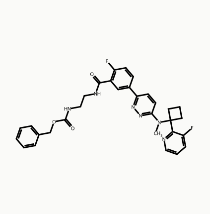 CN(c1ccc(-c2ccc(F)c(C(=O)NCCNC(=O)OCc3ccccc3)c2)nn1)C1(c2ncccc2F)CCC1